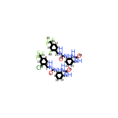 O=C(NCc1ccc(C(F)(F)F)cc1Cl)Nc1cccc2[nH]c(=O)[nH]c12.O=C(NCc1ccc(C(F)(F)F)cc1F)Nc1cccc2[nH]c(=O)[nH]c12